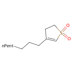 CCCCCCCCC1=CS(=O)(=O)CC1